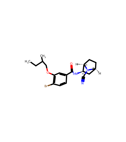 CCC(C)COc1cc(C(=O)N[C@@H]2C[C@@H]3CC[C@H]2N3C#N)ccc1Br